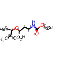 CCCCCC[C@@H](OCCCNC(=O)OC(C)(C)C)[C@@H](C)C(=O)O